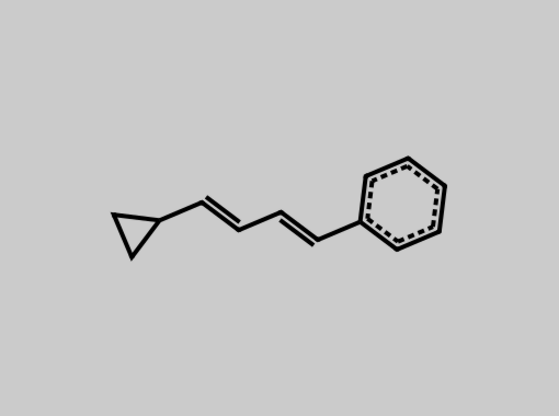 C(C=CC1CC1)=Cc1ccccc1